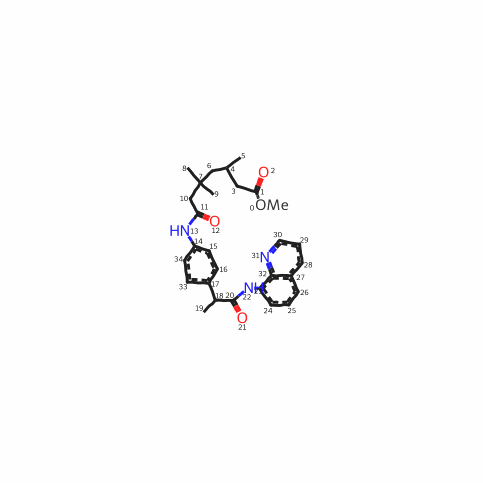 COC(=O)CC(C)CC(C)(C)CC(=O)Nc1ccc(C(C)C(=O)Nc2cccc3cccnc23)cc1